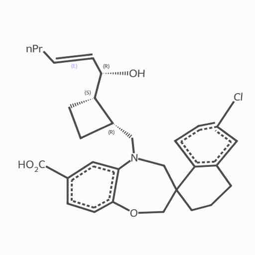 CCC/C=C/[C@H](O)[C@H]1CC[C@H]1CN1CC2(CCCc3cc(Cl)ccc32)COc2ccc(C(=O)O)cc21